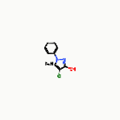 Oc1nn(-c2ccccc2)cc1Cl.[NaH]